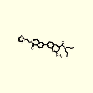 CCCN(CCC)C(=O)C1=Cc2ccc(-c3ccc4c(=O)n(CCn5cccn5)ccc4c3)cc2N=C(N)C1